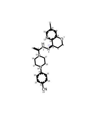 C=C(N/N=C1/CCOc2cc(C)cnc21)N1CCN(c2ccc(C#N)cc2)CC1